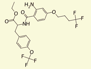 CCOC(=O)C(Cc1ccc(OC(F)(F)F)cc1)NC(=O)c1ccc(OCCCC(F)(F)F)cc1N